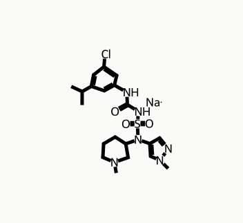 CC(C)c1cc(Cl)cc(NC(=O)NS(=O)(=O)N(c2cnn(C)c2)C2CCCN(C)C2)c1.[Na]